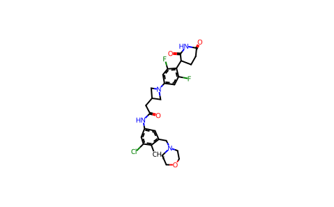 Cc1c(Cl)cc(NC(=O)CC2CN(c3cc(F)c(C4CCC(=O)NC4=O)c(F)c3)C2)cc1CN1CCOCC1